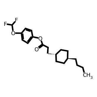 CCCC[C@H]1CC[C@H](CCC(=O)Oc2ccc(OC(F)F)cc2)CC1